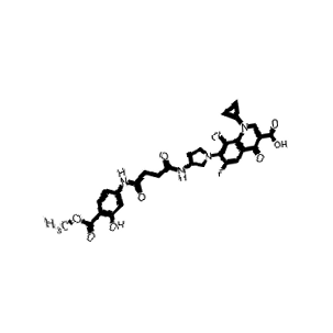 COC(=O)c1ccc(NC(=O)CCC(=O)NC2CCN(c3c(F)cc4c(=O)c(C(=O)O)cn(C5CC5)c4c3Cl)C2)cc1O